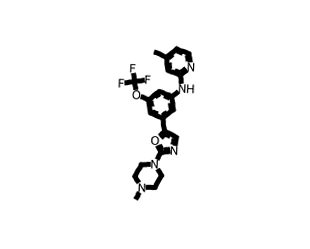 Cc1ccnc(Nc2cc(OC(F)(F)F)cc(-c3cnc(N4CCN(C)CC4)o3)c2)c1